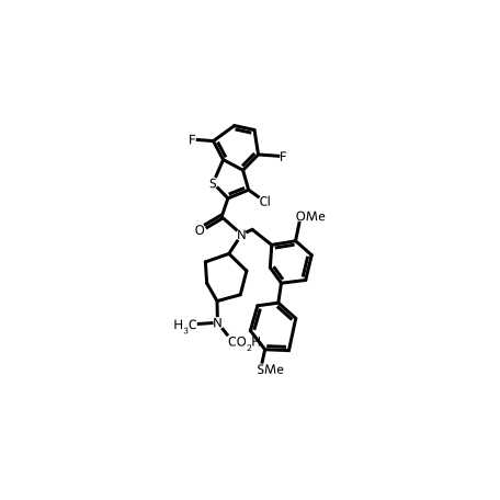 COc1ccc(-c2ccc(SC)cc2)cc1CN(C(=O)c1sc2c(F)ccc(F)c2c1Cl)C1CCC(N(C)C(=O)O)CC1